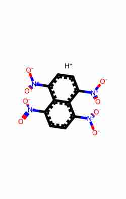 O=[N+]([O-])c1ccc([N+](=O)[O-])c2c([N+](=O)[O-])ccc([N+](=O)[O-])c12.[H+]